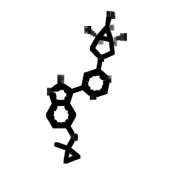 CC[C@H]1[C@H]2CN(c3cc(-c4[nH]nc5ccc(OC6(C)CC6)cc45)ncn3)C[C@@H]12